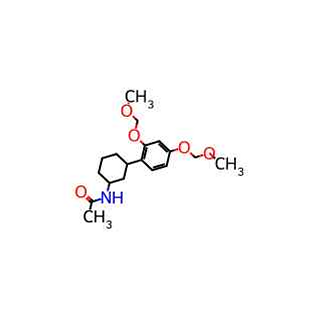 COCOc1ccc(C2CCCC(NC(C)=O)C2)c(OCOC)c1